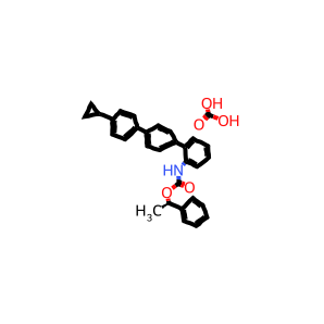 C[C@@H](OC(=O)Nc1ccccc1-c1ccc(-c2ccc(C3CC3)cc2)cc1)c1ccccc1.O=C(O)O